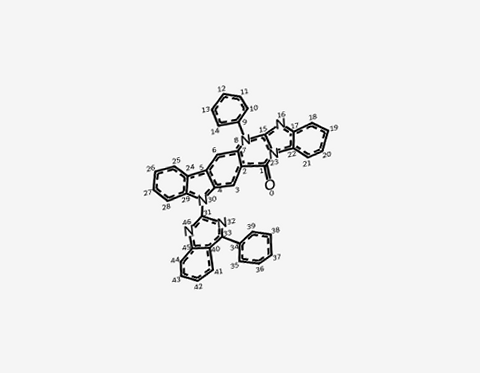 O=c1c2cc3c(cc2n(-c2ccccc2)c2nc4ccccc4n12)c1ccccc1n3-c1nc(-c2ccccc2)c2ccccc2n1